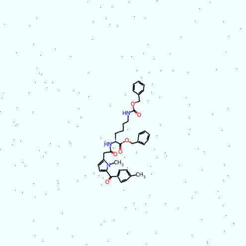 Cc1ccc(C(=O)c2ccc(CC(=O)N[C@@H](CCCCNC(=O)OCc3ccccc3)C(=O)OCc3ccccc3)n2C)cc1